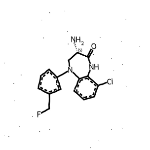 N[C@H]1CN(c2cccc(CF)c2)c2cccc(Cl)c2NC1=O